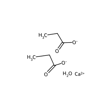 CCC(=O)[O-].CCC(=O)[O-].O.[Ca+2]